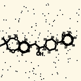 CC1(C)COc2ccc(CC(O)N3CCN(c4ccccn4)CC3)cc2OC1